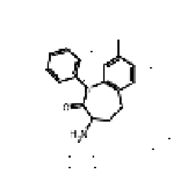 Cc1ccc2c(c1)N(c1ccccc1)C(=O)[C@H](N)CC2